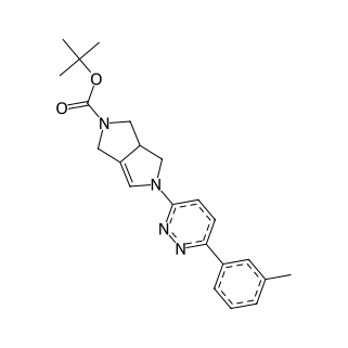 Cc1cccc(-c2ccc(N3C=C4CN(C(=O)OC(C)(C)C)CC4C3)nn2)c1